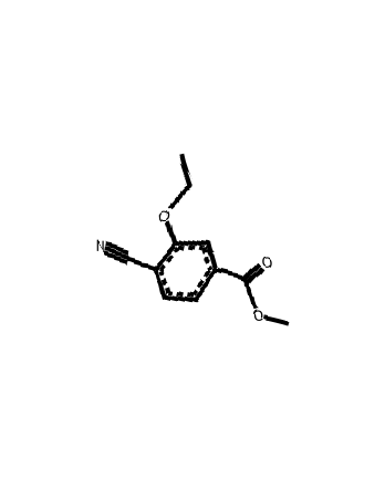 CCOc1cc(C(=O)OC)ccc1C#N